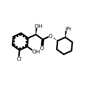 CC(C)[C@H]1CCCC[C@@H]1OC(=O)[C@H](O)c1cccc(Cl)c1O